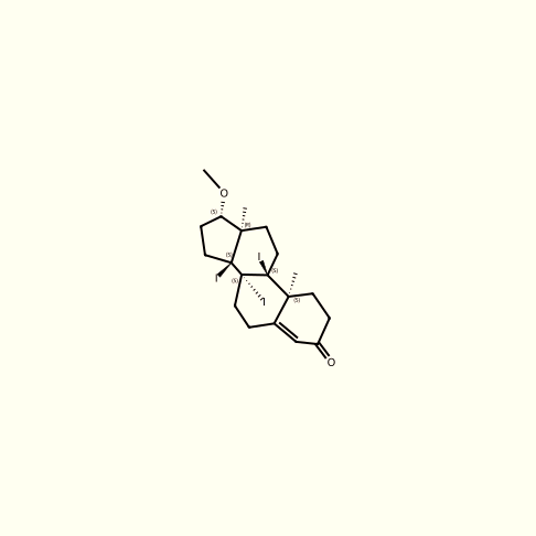 CO[C@H]1CC[C@@]2(I)[C@]3(I)CCC4=CC(=O)CC[C@]4(C)[C@@]3(I)CC[C@]12C